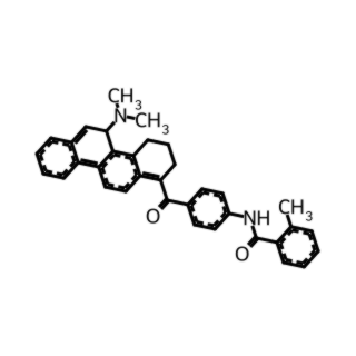 Cc1ccccc1C(=O)Nc1ccc(C(=O)C2=c3ccc4c(c3CCC2)C(N(C)C)C=c2ccccc2=4)cc1